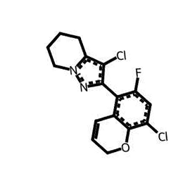 Fc1cc(Cl)c2c(c1-c1nn3c(c1Cl)CCCC3)C=CCO2